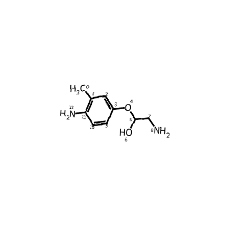 Cc1cc(OC(O)CN)ccc1N